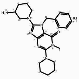 Cl.Cn1c(N2CCCCC2)nc2nc(N3CCCC(N)C3)n(Cc3ccccc3)c2c1=O